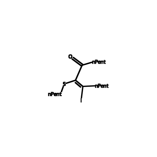 CCCCCSC(C(=O)CCCCC)=C(I)CCCCC